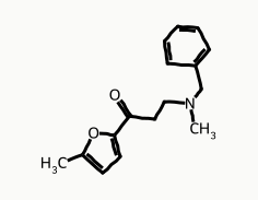 Cc1ccc(C(=O)CCN(C)Cc2ccccc2)o1